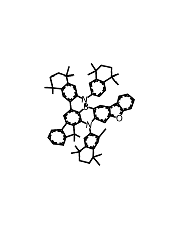 Cc1cc2c(cc1N1c3cc4oc5ccccc5c4cc3B3c4c(cc5c(c41)C(C)(C)c1ccccc1-5)-c1cc4c(cc1N3c1ccc3c(c1)C(C)(C)CCC3(C)C)C(C)(C)CCC4(C)C)C(C)(C)CCC2(C)C